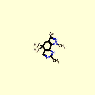 CC(=O)c1nn(C)c2c1CC(C)(C)c1cnc(C)nc1-2